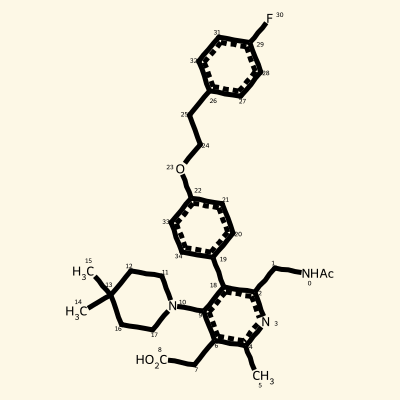 CC(=O)NCc1nc(C)c(CC(=O)O)c(N2CCC(C)(C)CC2)c1-c1ccc(OCCc2ccc(F)cc2)cc1